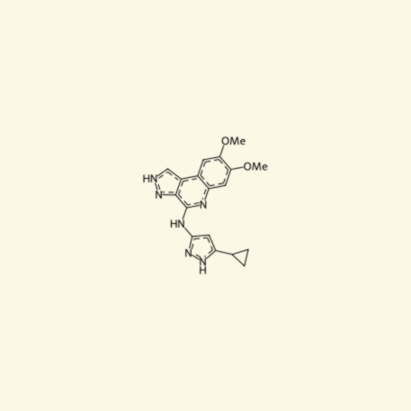 COc1cc2nc(Nc3cc(C4CC4)[nH]n3)c3n[nH]cc3c2cc1OC